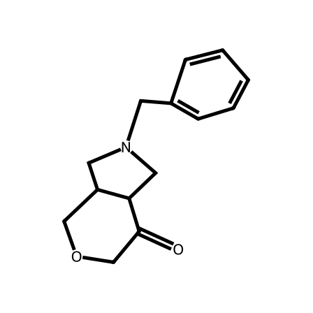 O=C1COCC2CN(Cc3ccccc3)CC12